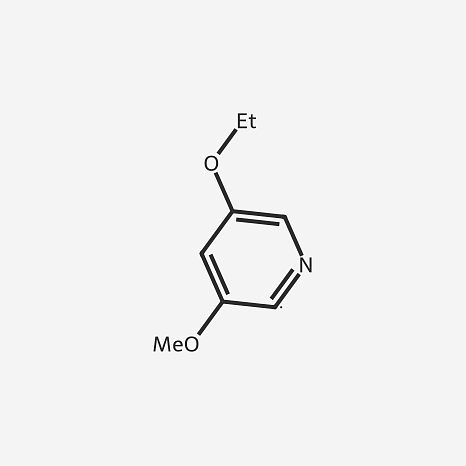 CCOc1cn[c]c(OC)c1